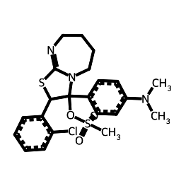 CN(C)c1ccc(C2(OS(C)(=O)=O)C(c3ccccc3Cl)SC3=NCCCCN32)cc1